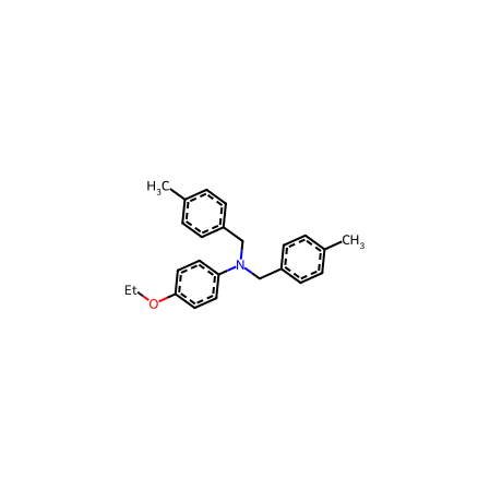 CCOc1ccc(N(Cc2ccc(C)cc2)Cc2ccc(C)cc2)cc1